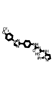 CC(C)n1nccc1N/C(S)=N/C(=O)Nc1ccc(-c2ncn(-c3ccc(OC(F)(F)F)cc3)n2)cc1